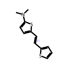 CN(C)c1ccc(/C=C/c2cccs2)s1